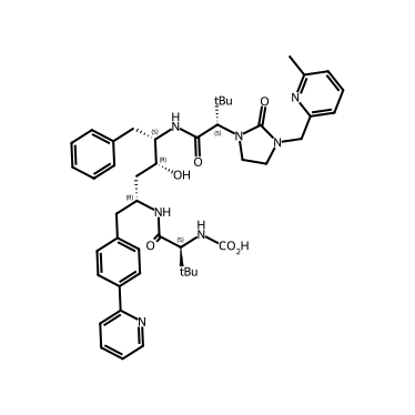 Cc1cccc(CN2CCN([C@H](C(=O)N[C@@H](Cc3ccccc3)[C@H](O)C[C@@H](Cc3ccc(-c4ccccn4)cc3)NC(=O)[C@@H](NC(=O)O)C(C)(C)C)C(C)(C)C)C2=O)n1